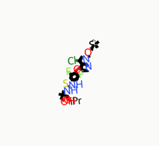 CC(C)OCC(C)(CO)CNC(=S)Nc1cc(F)c(Oc2ccnc3c2c(Cl)cn3COCC[Si](C)(C)C)c(F)c1